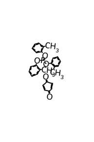 Cc1ccccc1OP(Oc1ccccc1C)Oc1ccccc1C.O=C1C=CC(=O)C=C1